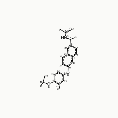 CC(=O)NC(C)c1ccc2cc(Oc3ccc(OC(C)C)c(C)c3)ccc2c1